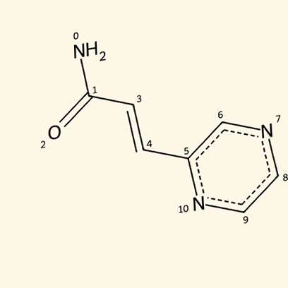 NC(=O)C=Cc1cnccn1